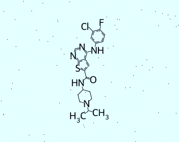 CC(C)N1CCC(NC(=O)c2cc3c(Nc4ccc(F)c(Cl)c4)ncnc3s2)CC1